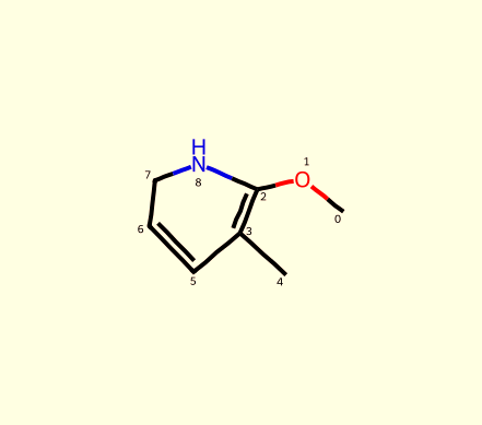 COC1=C(C)C=CCN1